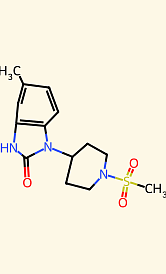 Cc1ccc2c(c1)[nH]c(=O)n2C1CCN(S(C)(=O)=O)CC1